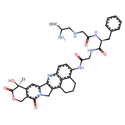 CC[C@@]1(O)C(=O)OCc2c1cc1n(c2=O)Cc2c-1nc1ccc(NC(=O)CNC(=O)[C@H](Cc3ccccc3)NC(=O)CNCC(N)C=O)c3c1c2CCC3